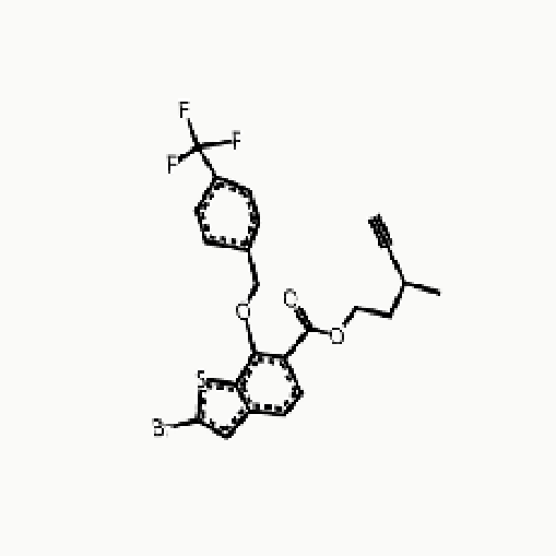 C#CC(C)CCOC(=O)c1ccc2cc(Br)sc2c1OCc1ccc(C(F)(F)F)cc1